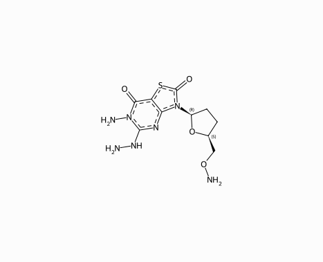 NNc1nc2c(sc(=O)n2[C@H]2CC[C@@H](CON)O2)c(=O)n1N